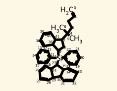 C=CCCC(C)(C)C1CC([Si](c2ccccc2)(c2ccccc2)C2C3C=CC=CC3C3C=CC=CC32)C2C=CC=CC21